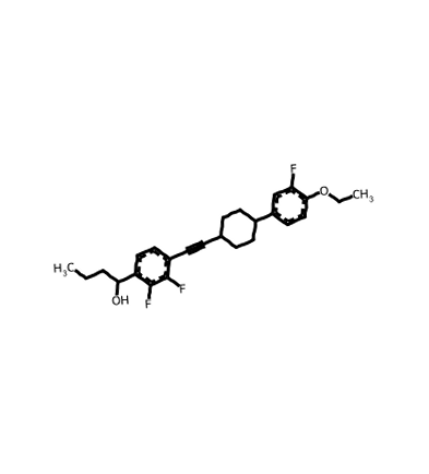 CCCC(O)c1ccc(C#CC2CCC(c3ccc(OCC)c(F)c3)CC2)c(F)c1F